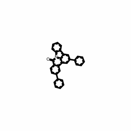 O=c1c2ccc(-c3ccccc3)cc2c2cc(-c3ccccc3)cc3c4ccccc4n1c23